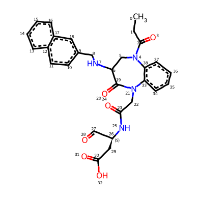 CCC(=O)N1CC(NCc2ccc3ccccc3c2)C(=O)N(CC(=O)N[C@H](C=O)CC(=O)O)c2ccccc21